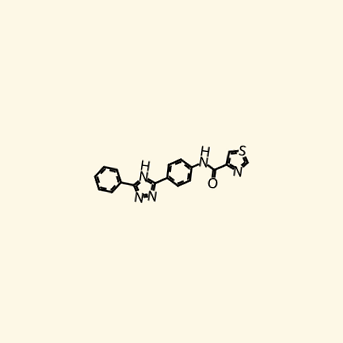 O=C(Nc1ccc(-c2nnc(-c3ccccc3)[nH]2)cc1)c1cscn1